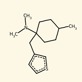 CC1CCC(Cc2ccsc2)(N(C)C)CC1